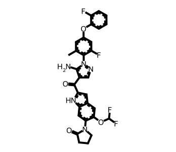 Cc1cc(Oc2ccccc2F)cc(F)c1-n1ncc(C(=O)c2cc3cc(OC(F)F)c(N4CCCC4=O)cc3[nH]2)c1N